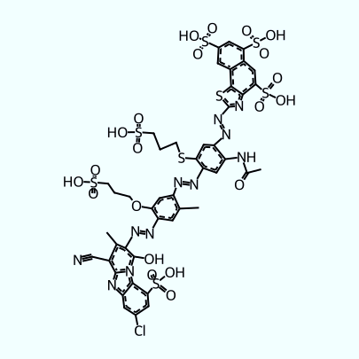 CC(=O)Nc1cc(N=Nc2cc(OCCCS(=O)(=O)O)c(N=Nc3c(C)c(C#N)c4nc5cc(Cl)cc(S(=O)(=O)O)c5n4c3O)cc2C)c(SCCCS(=O)(=O)O)cc1N=Nc1nc2c(S(=O)(=O)O)cc3c(S(=O)(=O)O)cc(S(=O)(=O)O)cc3c2s1